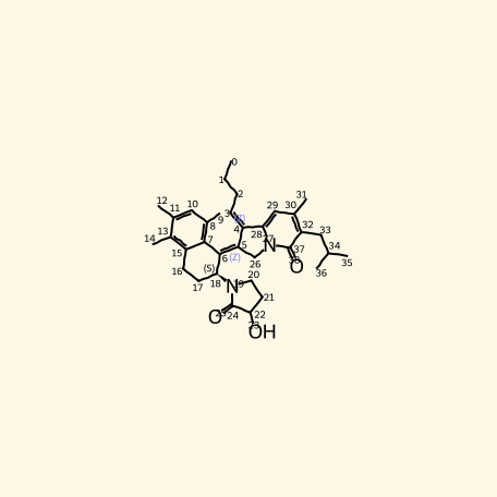 CCC/C=C1/C(=C2\c3c(C)cc(C)c(C)c3CC[C@@H]2N2CCC(O)C2=O)Cn2c1cc(C)c(CC(C)C)c2=O